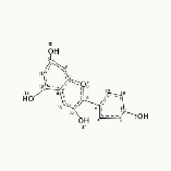 Oc1ccc(-c2[o+]c3cc(O)cc(O)c3cc2O)cc1